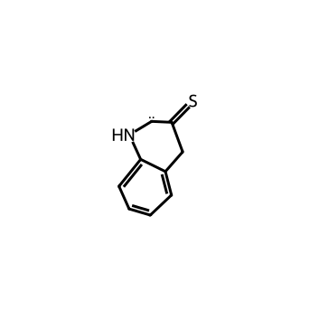 S=C1[C]Nc2ccccc2C1